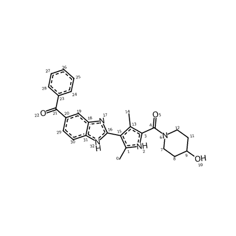 Cc1[nH]c(C(=O)N2CCC(O)CC2)c(C)c1-c1nc2cc(C(=O)c3ccccc3)ccc2[nH]1